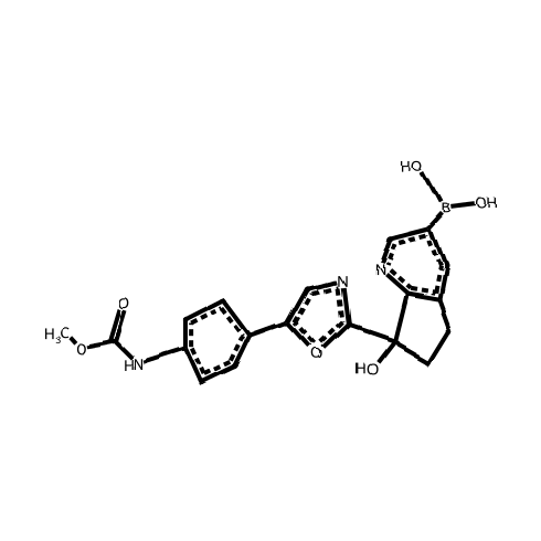 COC(=O)Nc1ccc(-c2cnc(C3(O)CCc4cc(B(O)O)cnc43)o2)cc1